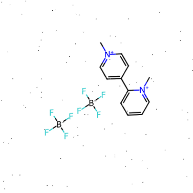 C[n+]1ccc(-c2cccc[n+]2C)cc1.F[B-](F)(F)F.F[B-](F)(F)F